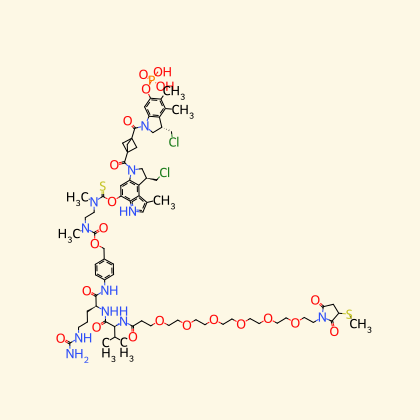 CSC1CC(=O)N(CCOCCOCCOCCOCCOCCOCCC(=O)N[C@H](C(=O)N[C@@H](CCCNC(N)=O)C(=O)Nc2ccc(COC(=O)N(C)CCN(C)C(=S)Oc3cc4c(c5c(C)c[nH]c35)[C@H](CCl)CN4C(=O)C34CC(C(=O)N5C[C@@H](CCl)c6c5cc(OP(=O)(O)O)c(C)c6C)(C3)C4)cc2)C(C)C)C1=O